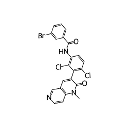 Cn1c(=O)c(-c2c(Cl)ccc(NC(=O)c3cccc(Br)c3)c2Cl)cc2cnccc21